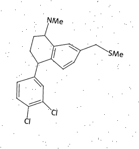 CNC1CCC(c2ccc(Cl)c(Cl)c2)c2ccc(CSC)cc21